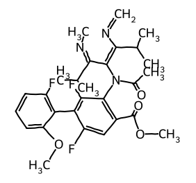 C=N/C(=C(\C(=N/C)C(C)C)N(C(C)=O)c1c(C(=O)OC)cc(F)c(-c2c(F)cccc2OC)c1F)C(C)C